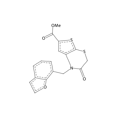 COC(=O)c1cc2c(s1)SCC(=O)N2Cc1cccc2ccoc12